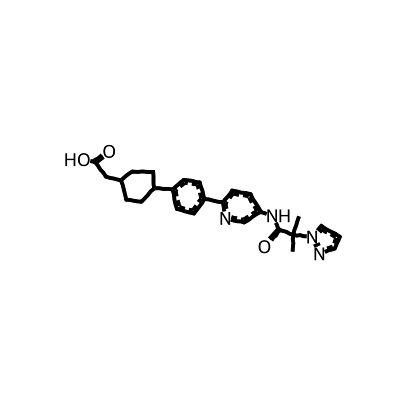 CC(C)(C(=O)Nc1ccc(-c2ccc(C3CCC(CC(=O)O)CC3)cc2)nc1)n1cccn1